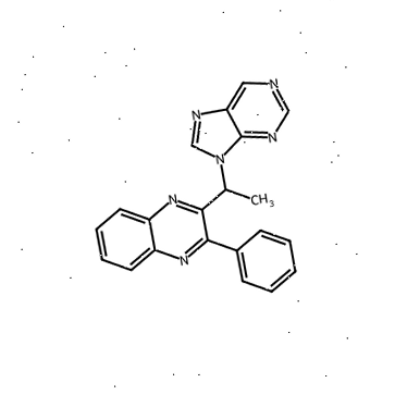 CC(c1nc2ccccc2nc1-c1ccccc1)n1cnc2cncnc21